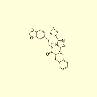 O=C(NCCc1ccc2c(c1)OCO2)C1Cc2ccccc2CN1c1nc(-n2ccnc2)ns1